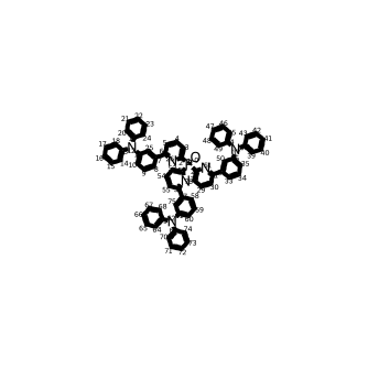 O=P(c1cccc(-c2cccc(N(c3ccccc3)c3ccccc3)c2)n1)(c1cccc(-c2cccc(N(c3ccccc3)c3ccccc3)c2)n1)c1cccc(-c2cccc(N(c3ccccc3)c3ccccc3)c2)n1